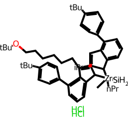 CC[CH2][Zr]([CH3])(=[SiH2])([CH]1C(C(C)C)=Cc2c(-c3ccc(C(C)(C)C)cc3)cccc21)[CH]1C(C)=C(CCCCCCOC(C)(C)C)c2c(-c3ccc(C(C)(C)C)cc3)cccc21.Cl.Cl